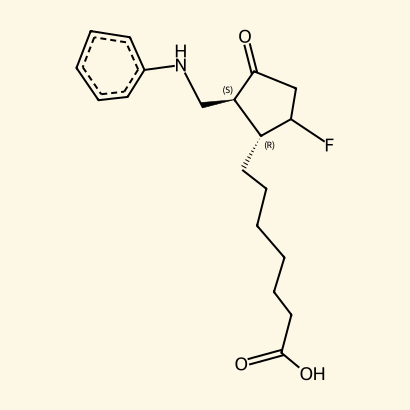 O=C(O)CCCCCC[C@H]1C(F)CC(=O)[C@@H]1CNc1ccccc1